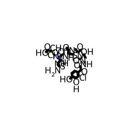 CC(C)(O/N=C(\C(=O)NC1C(=O)N2CC(C(=O)O)(N3CCN(NC(=O)C(=O)c4ccc(O)c(O)c4Cl)C3=O)S[C@H]12)c1nsc(N)n1)C(=O)O